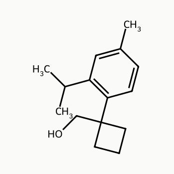 Cc1ccc(C2(CO)CCC2)c(C(C)C)c1